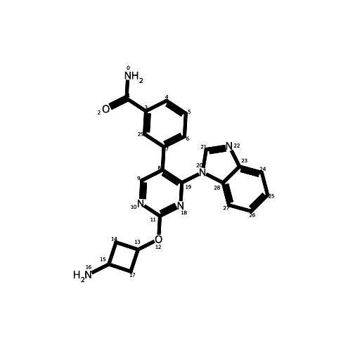 NC(=O)c1cccc(-c2cnc(OC3CC(N)C3)nc2-n2cnc3ccccc32)c1